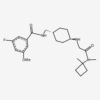 COc1cc(F)cc(C(=O)NC[C@H]2CC[C@H](NCC(=O)N(C)C3(C)CCC3)CC2)c1